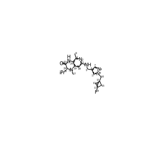 Cc1nc(NCc2cnn(CC34CC(F)(C3)C4)c2)cc2c1NC(=O)[C@H](C(C)C)N2C